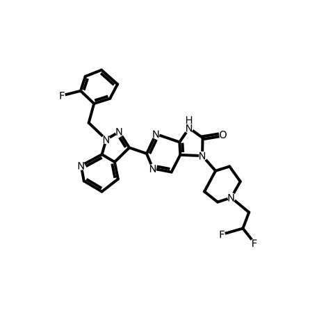 O=c1[nH]c2nc(-c3nn(Cc4ccccc4F)c4ncccc34)ncc2n1C1CCN(CC(F)F)CC1